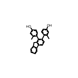 Cc1cc(O)ccc1-c1ccc2c(c1-c1ccc(O)cc1C)Cc1ccccc1-2